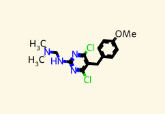 COc1ccc(Cc2c(Cl)nc(NCN(C)C)nc2Cl)cc1